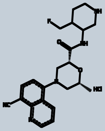 C[C@@H]1CN(c2ccc(C#N)c3ncccc23)C[C@H](C(=O)NC2CNCCC2CF)O1.Cl